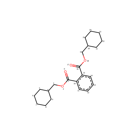 O=C(OCC1CCCCC1)c1ccccc1C(=O)OCC1CCCCC1